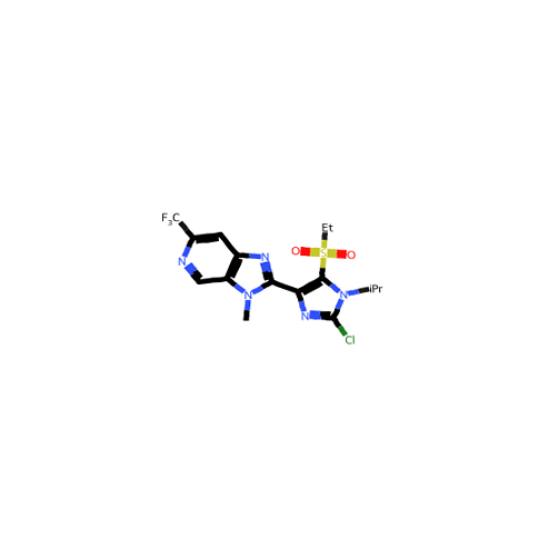 CCS(=O)(=O)c1c(-c2nc3cc(C(F)(F)F)ncc3n2C)nc(Cl)n1C(C)C